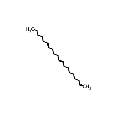 C=CCCCCCCC=CCCCC=CCCCCC